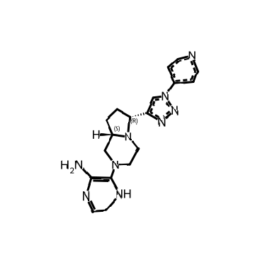 NC1=C(N2CCN3[C@@H](CC[C@@H]3c3cn(-c4ccncc4)nn3)C2)NCC=N1